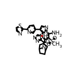 CS(=O)(=O)c1c(C2CC3CCC(C2)N3C(=O)c2nnc[nH]2)nc2c(-c3ccc(-c4nccs4)nc3)cnn2c1N